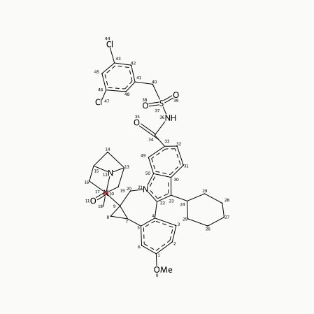 COc1ccc2c(c1)C1CC1(C(=O)N1C3CC1CN(C)C3)Cn1c-2c(C2CCCCC2)c2ccc(C(=O)NS(=O)(=O)Cc3cc(Cl)cc(Cl)c3)cc21